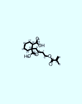 C=C(C)C(=O)OCCCCC1(C(=O)O)CCCCC1C(=O)O